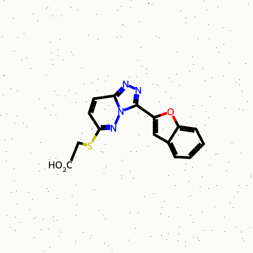 O=C(O)CSc1ccc2nnc(-c3cc4ccccc4o3)n2n1